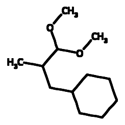 COC(OC)C(C)CC1CCCCC1